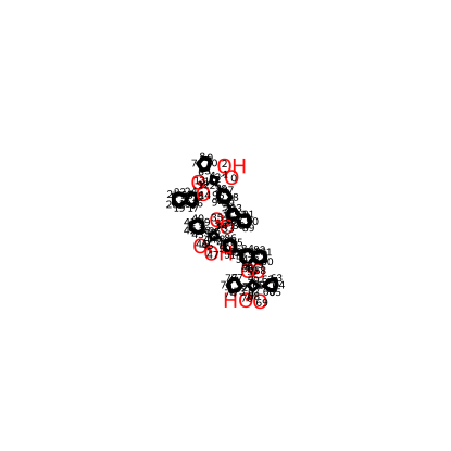 O=C(O)[C@H]1[C@@H](c2ccccc2)[C@H](C(=O)Oc2ccc3ccccc3c2)[C@@H]1c1ccc(-c2cc(OC(=O)[C@@H]3[C@@H](c4ccccc4)[C@H](C(=O)O)[C@@H]3c3ccc(-c4cc(OC(=O)[C@H]5[C@H](c6ccccc6)[C@@H](C(=O)O)[C@H]5c5ccccc5)c5ccccc5c4)cc3)c3ccccc3c2)cc1